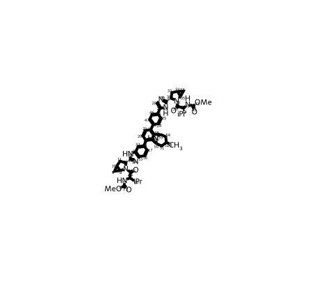 COC(=O)NC(C(=O)N1C2CC2C[C@@H]1c1nc2ccc(-c3ccc(-c4ccc(-c5cnc([C@@H]6CC7CC7N6C(=O)[C@@H](NC(=O)OC)C(C)C)[nH]5)cc4)c4c3C3CC(C)CC4N3)cc2[nH]1)C(C)C